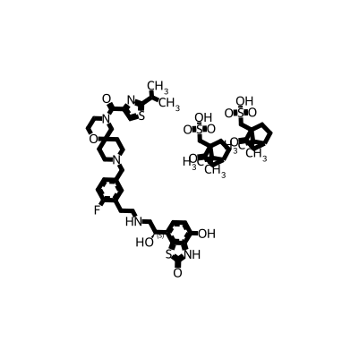 CC(C)c1nc(C(=O)N2CCOC3(CCN(Cc4ccc(F)c(CCNC[C@@H](O)c5ccc(O)c6[nH]c(=O)sc56)c4)CC3)C2)cs1.CC1(C)C2CCC1(CS(=O)(=O)O)C(=O)C2.CC1(C)C2CCC1(CS(=O)(=O)O)C(=O)C2